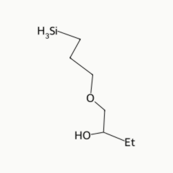 CCC(O)COCCC[SiH3]